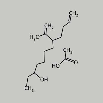 C=CCCC(CCCCC(O)CC)C(=C)C.CC(=O)O